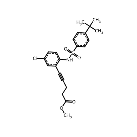 COC(=O)CCC#Cc1cc(Cl)ccc1NS(=O)(=O)c1ccc(C(C)(C)C)cc1